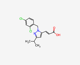 CC(C)c1cc(C=CC(=O)O)n(Cc2ccc(Cl)cc2Cl)n1